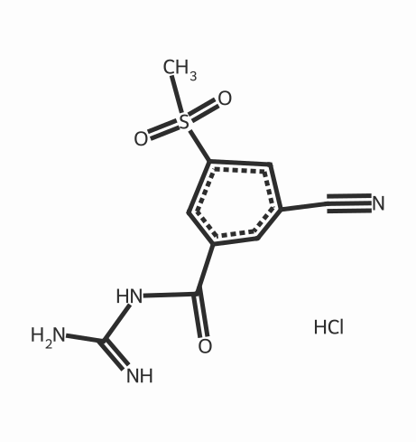 CS(=O)(=O)c1cc(C#N)cc(C(=O)NC(=N)N)c1.Cl